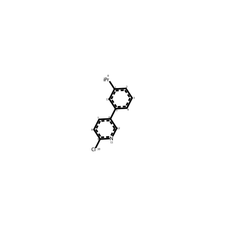 CC(C)c1cccc(-c2ccc(Cl)nc2)c1